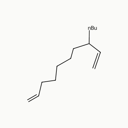 C=CCCCCCC(C=C)CCCC